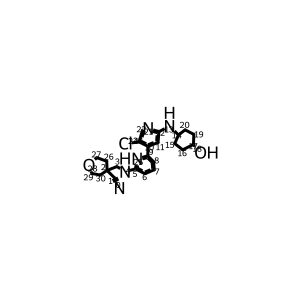 N#CC1(CNc2cccc(-c3cc(NC4CCC(O)CC4)ncc3Cl)n2)CCOCC1